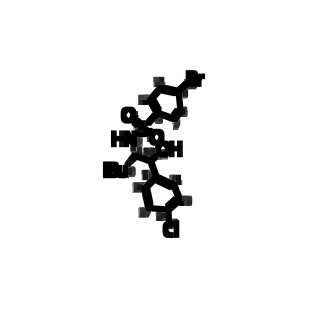 CC[C@H](C)[C@H](NS(=O)(=O)c1ccc(Br)cc1)C(O)c1ccc(Cl)cc1